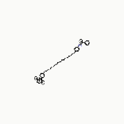 O=C(/C=C/c1ccc(CCCCCCCCCCCCCCCCCCc2ccc(N3C(=O)C=CC3=O)cc2)cc1)c1ccccc1